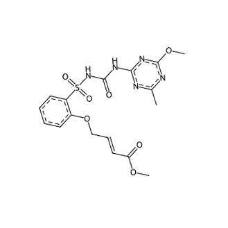 COC(=O)C=CCOc1ccccc1S(=O)(=O)NC(=O)Nc1nc(C)nc(OC)n1